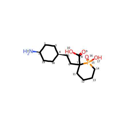 N[C@H]1CC[C@@H](CCC2(C(=O)O)CCCCP2(=O)O)CC1